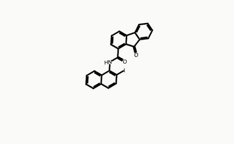 O=C(Nc1c(I)ccc2ccccc12)c1cccc2c1C(=O)c1ccccc1-2